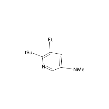 CCc1cc(NC)cnc1C(C)(C)C